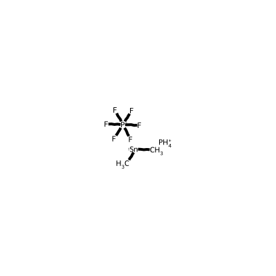 F[P-](F)(F)(F)(F)F.[CH3][Sn][CH3].[PH4+]